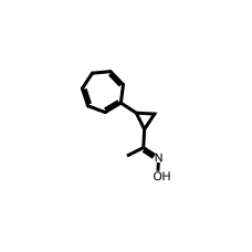 C/C(=N\O)C1CC1C1=CC=CCC=C1